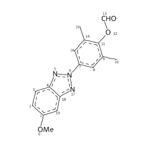 COc1ccc2nn(-c3cc(C)c(O[C]=O)c(C)c3)nc2c1